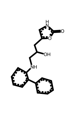 O=c1[nH]cc(CC(O)CNc2ccccc2-c2ccccc2)o1